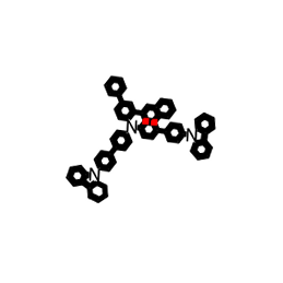 C1=Cc2c(n(-c3ccc(-c4ccc(N(c5ccc(-c6ccc(-n7c8ccccc8c8ccccc87)cc6)cc5)c5ccc(-c6ccccc6)cc5-c5ccc6ccccc6c5)cc4)cc3)c3ccccc23)CC1